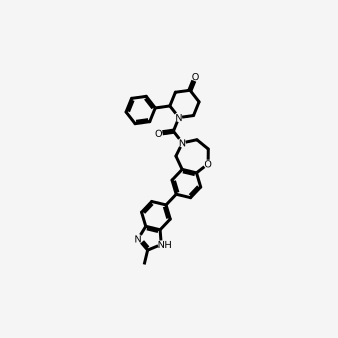 Cc1nc2ccc(-c3ccc4c(c3)CN(C(=O)N3CCC(=O)CC3c3ccccc3)CCO4)cc2[nH]1